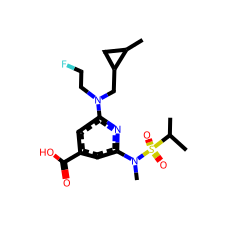 CC1CC1CN(CCF)c1cc(C(=O)O)cc(N(C)S(=O)(=O)C(C)C)n1